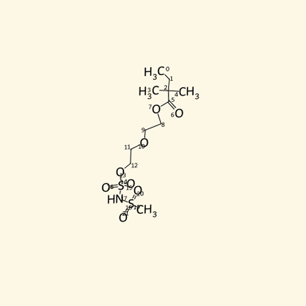 CCC(C)(C)C(=O)OCCOCCOS(=O)(=O)NS(C)(=O)=O